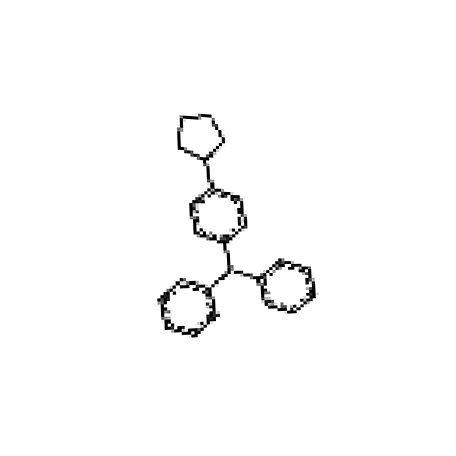 c1ccc(P(c2ccccc2)c2ccc(C3CCCC3)cc2)cc1